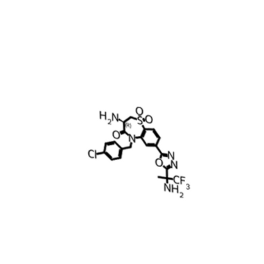 CC(N)(c1nnc(-c2ccc3c(c2)N(Cc2ccc(Cl)cc2)C(=O)[C@@H](N)CS3(=O)=O)o1)C(F)(F)F